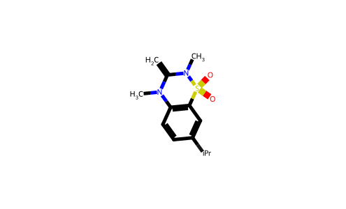 C=C1N(C)c2ccc(C(C)C)cc2S(=O)(=O)N1C